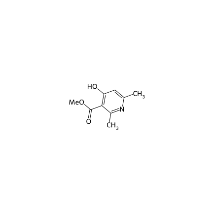 COC(=O)c1c(O)cc(C)nc1C